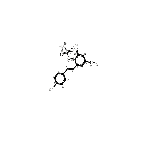 Cc1cc(/C=C/c2ccc(F)cc2)n(OS(C)(=O)=O)c(=O)c1